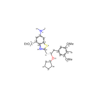 CCOC(=O)c1cc(N(C)C)cc2sc(C[C@H](Cc3cc(OC)c(C)c(OC)c3)OC3CCCC3)nc12